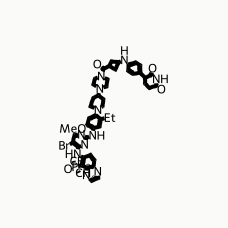 CCc1cc(Nc2ncc(Br)c(Nc3ccc4nccnc4c3P(C)(C)=O)n2)c(OC)cc1N1CCC(N2CCN(C(=O)C3CC(Nc4ccc(C5CCC(=O)NC5=O)cc4)C3)CC2)CC1